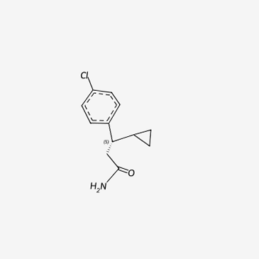 NC(=O)C[C@H](c1ccc(Cl)cc1)C1CC1